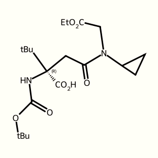 CCOC(=O)CN(C(=O)C[C@](NC(=O)OC(C)(C)C)(C(=O)O)C(C)(C)C)C1CC1